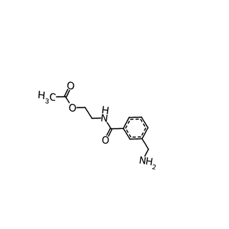 CC(=O)OCCNC(=O)c1cccc(CN)c1